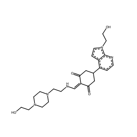 O=C1CC(c2ccnc3c2ccn3CCO)CC(=O)C1=CNCCN1CCN(CCO)CC1